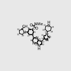 CNS(=O)(=O)c1cc(-c2cnc3[nH]cc(-c4cn(C5CCNCC5)nn4)c3n2)cc(N2CCC[C@H]2C)c1